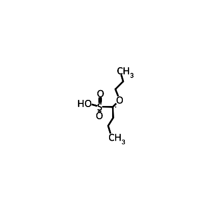 CCCO[C](CCC)S(=O)(=O)O